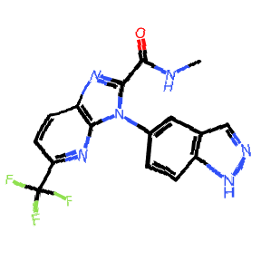 CNC(=O)c1nc2ccc(C(F)(F)F)nc2n1-c1ccc2[nH]ncc2c1